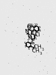 CC(C)c1ccccc1Sc1ccc2c(-c3c(Cl)cccc3Cl)c(=O)ncn2n1